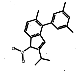 Cc1cc(C)cc(-c2c(C)ccc3c2C=C(C(C)C)[CH]3[Zr]([Cl])[Cl])c1